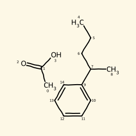 CC(=O)O.CCCC(C)c1ccccc1